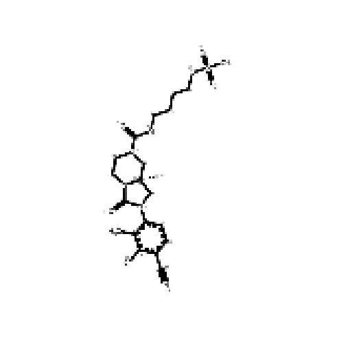 Cc1c(N2C[C@@H]3CN(C(=O)NCCCCOS(C)(=O)=O)CCN3C2=O)ccc(C#N)c1Cl